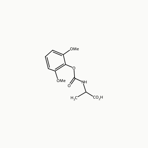 COc1cccc(OC)c1OC(=O)NC(C)C(=O)O